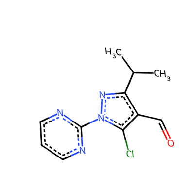 CC(C)c1nn(-c2ncccn2)c(Cl)c1C=O